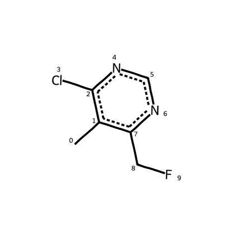 Cc1c(Cl)ncnc1CF